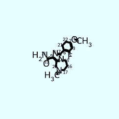 COC1=CC(F)=C(c2nc(C(N)=O)c3n2CCCN(C)C3)CC1